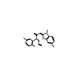 C=CCC(C(=C)/C=C1\Oc2cc(C)ccc2N1C)c1cc(C)ccc1C